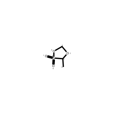 CC1OCOS1(=O)=O